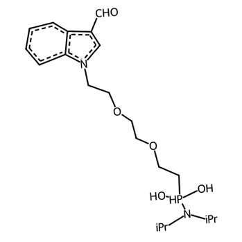 CC(C)N(C(C)C)[PH](O)(O)CCOCCOCCn1cc(C=O)c2ccccc21